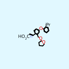 CC(C)c1ccccc1Oc1ccc(/C=C/C(=O)O)c(COC2CCCCO2)c1